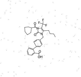 CCCCc1c(C(F)(F)F)n(C(=O)C2CCCCC2)c(=O)n1Cc1ccc(-c2ccccc2C(=O)O)cc1